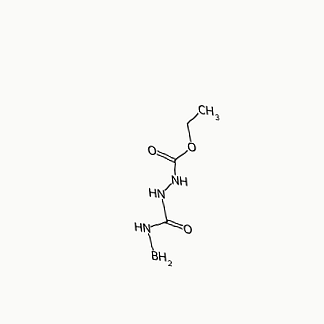 BNC(=O)NNC(=O)OCC